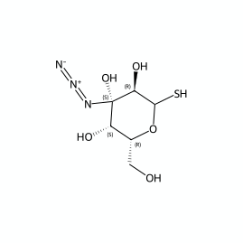 [N-]=[N+]=N[C@@]1(O)[C@@H](O)C(S)O[C@H](CO)[C@@H]1O